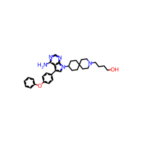 Nc1ncnc2c1c(-c1ccc(Oc3ccccc3)cc1)cn2C1CCC2(CC1)CCN(CCCCO)CC2